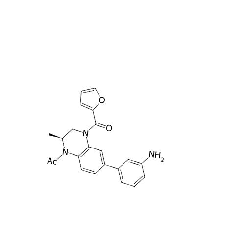 CC(=O)N1c2ccc(-c3cccc(N)c3)cc2N(C(=O)c2ccco2)C[C@@H]1C